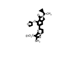 CCOC(=O)c1c(N)nn2ccc(-c3cc4c(c(O[C@@H]5CCOC5)c3)C(=O)N([C@@H](C)C3CC3)C4)nc12